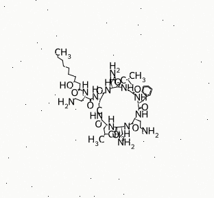 CCCCCCC[C@@H](O)CC(=O)N[C@H](CCN)C(=O)N[C@H]1CCNC(=O)[C@H](CC(C)C)NC(=O)[C@H](CCN)NC(=O)[C@H](CCN)NC(=O)[C@H](Cc2ccccc2)NC(=O)[C@@H](CC(C)C)NC(=O)[C@H](CCN)NC1=O